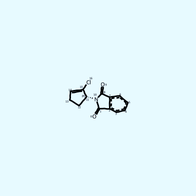 O=C1c2ccccc2C(=O)N1[C@@H]1CCC=C1Cl